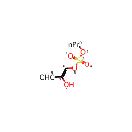 CCCOS(=O)(=O)OC=C(O)C=O